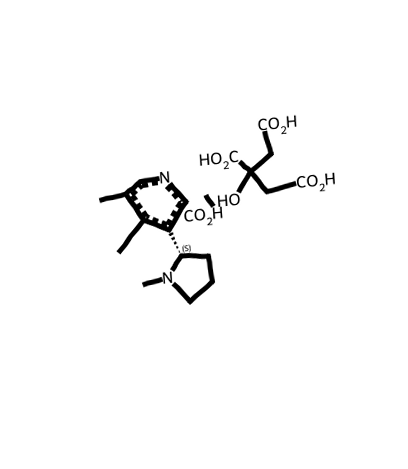 CC(=O)O.Cc1cncc([C@@H]2CCCN2C)c1C.O=C(O)CC(O)(CC(=O)O)C(=O)O